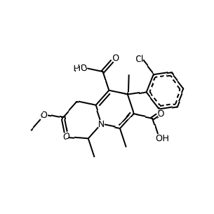 COC(=O)CC1=C(C(=O)O)C(C)(c2ccccc2Cl)C(C(=O)O)=C(C)N1C(C)C